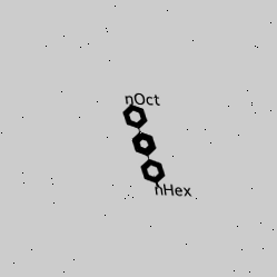 CCCCCCCC[C@H]1CC[C@H](c2ccc([C@H]3CC[C@H](CCCCCC)CC3)cc2)CC1